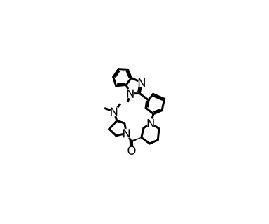 CN(C)C1CCN(C(=O)[C@@H]2CCCN(c3cccc(-c4nc5ccccc5n4C)c3)C2)C1